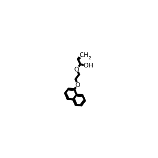 C=CC(O)OCCOc1cccc2ccccc12